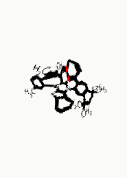 Cc1ccc2c(c1)B1c3sc4ccccc4c3N(c3cc4c(cc3-c3ccccc3)C(C)(C)CCC4(C)C)c3nccc(c31)C2(C)C